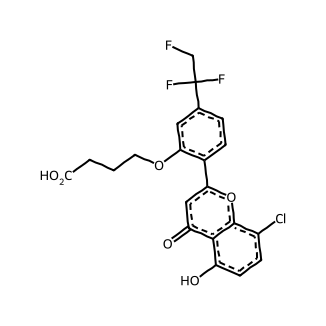 O=C(O)CCCOc1cc(C(F)(F)CF)ccc1-c1cc(=O)c2c(O)ccc(Cl)c2o1